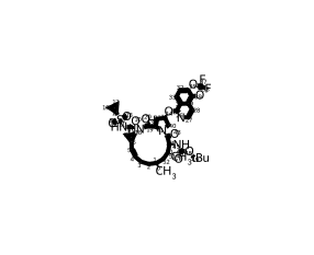 C[C@H]1CC/C=C\C2C[C@@]2(C(=O)NS(=O)(=O)C2CC2)NC(=O)[C@@H]2C[C@@H](Oc3nccc4c5c(ccc34)OC(F)(F)O5)CN2C(=O)[C@@H](NC(=O)OC(C)(C)C)[C@H](C)C1